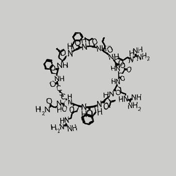 CC[C@H](C)[C@@H]1NC(=O)[C@H](C(C)C)NC(=O)[C@H](Cc2ccccc2)NC(=O)[C@H](CC(C)C)NC(=O)[C@H](Cc2ccccc2)NC(=O)CSC[C@@H](C(=O)NCC(N)=O)NC(=O)[C@H](CCCNC(=N)N)NC(=O)[C@H](Cc2ccccc2)NC(=O)[C@H](C(C)C)NC(=O)[C@H](CCCNC(=N)N)NC(=O)[C@H](CC(=O)O)NC(=O)[C@H](CCCNC(=N)N)NC1=O